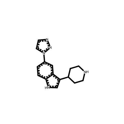 c1cn(-c2ccc3[nH]cc(C4CCNCC4)c3c2)nn1